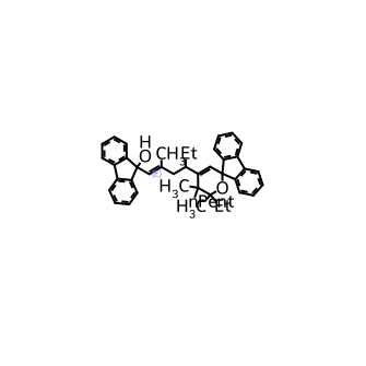 CCCCCC1(C)C(C(CC)C/C(C)=C/C2(O)c3ccccc3-c3ccccc32)=CC2(OC1(C)CC)c1ccccc1-c1ccccc12